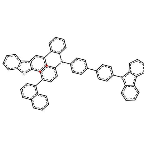 c1ccc(N(c2ccc(-c3ccc(-n4c5ccccc5c5ccccc54)cc3)cc2)c2ccc(-c3cccc4ccccc34)cc2)c(-c2ccc3oc4ccccc4c3c2)c1